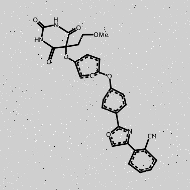 COCCC1(Oc2ccc(Oc3ccc(-c4nc(-c5ccccc5C#N)co4)cc3)cc2)C(=O)NC(=O)NC1=O